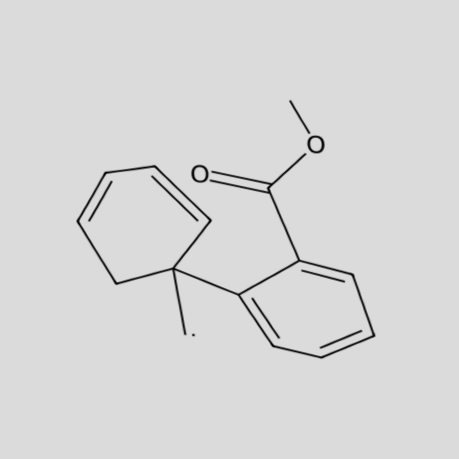 [CH2]C1(c2ccccc2C(=O)OC)C=CC=CC1